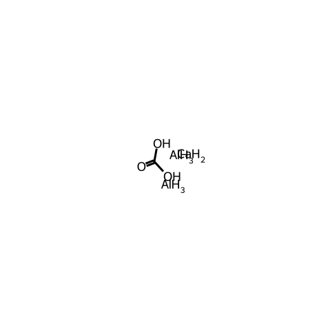 O=C(O)O.[AlH3].[AlH3].[CaH2]